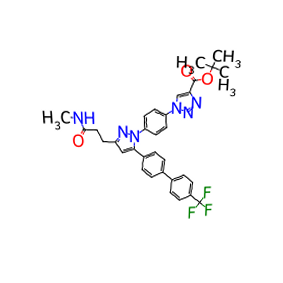 CNC(=O)CCc1cc(-c2ccc(-c3ccc(C(F)(F)F)cc3)cc2)n(-c2ccc(-n3cc(C(=O)OC(C)(C)C)nn3)cc2)n1